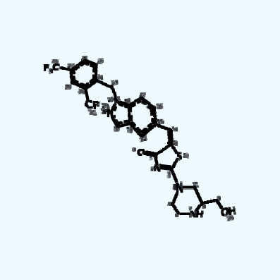 O=C1N=C(N2CCNC(CO)C2)SC1=Cc1ccc2c(cnn2Cc2ccc(C(F)(F)F)cc2C(F)(F)F)c1